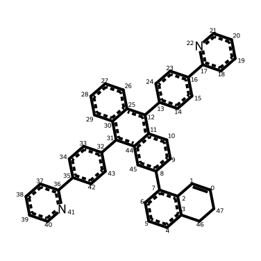 C1=Cc2c(cccc2-c2ccc3c(-c4ccc(-c5ccccn5)cc4)c4ccccc4c(-c4ccc(-c5ccccn5)cc4)c3c2)CC1